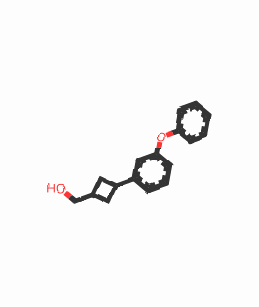 OCC1CC(c2cccc(Oc3ccccc3)c2)C1